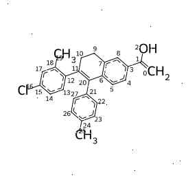 C=C(O)c1ccc2c(c1)CCC(c1ccc(Cl)cc1C)=C2c1ccc(C)cc1